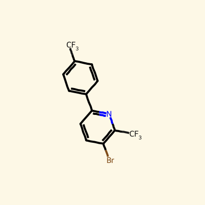 FC(F)(F)c1ccc(-c2ccc(Br)c(C(F)(F)F)n2)cc1